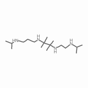 CC(C)NCCCNC(C)(C)C(C)(C)NCCNC(C)C